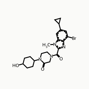 Cn1c(C(=O)N2CCN(C3CCC(O)CC3)C(=O)C2)nc2c(Br)cc(C3CC3)cc21